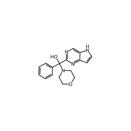 OC(c1ccccc1)(c1ncc2[nH]ccc2n1)N1CCOCC1